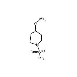 CS(=O)(=O)N1CCC(ON)CC1